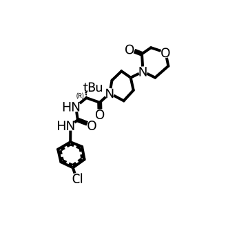 CC(C)(C)[C@@H](NC(=O)Nc1ccc(Cl)cc1)C(=O)N1CCC(N2CCOCC2=O)CC1